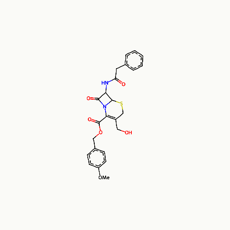 COc1ccc(COC(=O)C2=C(CO)CSC3C(NC(=O)Cc4ccccc4)C(=O)N23)cc1